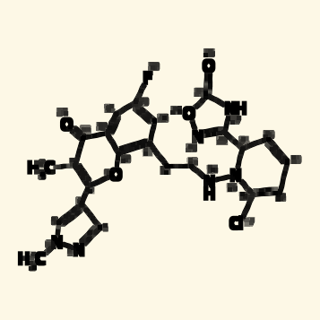 Cc1c(-c2cnn(C)c2)oc2c(CCNN3C(Cl)=CC=CC3c3noc(=O)[nH]3)cc(F)cc2c1=O